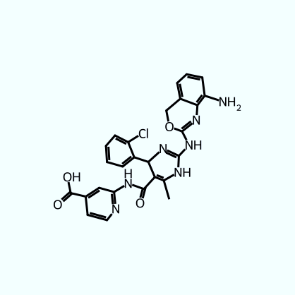 CC1=C(C(=O)Nc2cc(C(=O)O)ccn2)C(c2ccccc2Cl)N=C(NC2=Nc3c(N)cccc3CO2)N1